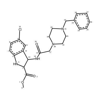 COC(=O)C1Nc2ccc(Cl)cc2C1NC(=O)CN1CCN(Cc2ccccc2)CC1